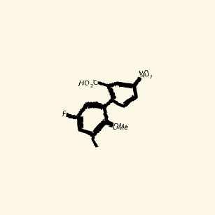 COc1c(C)cc(F)cc1-c1ccc([N+](=O)[O-])cc1C(=O)O